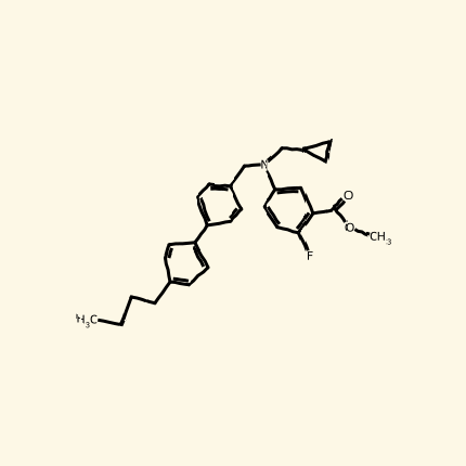 CCCCc1ccc(-c2ccc(CN(CC3CC3)c3ccc(F)c(C(=O)OC)c3)cc2)cc1